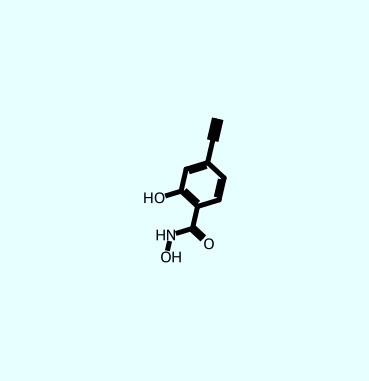 C#Cc1ccc(C(=O)NO)c(O)c1